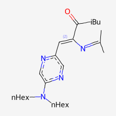 CCCCCCN(CCCCCC)c1cnc(/C=C(\N=C(C)C)C(=O)C(C)CC)cn1